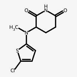 CN(c1ccc(Cl)s1)C1CCC(=O)NC1=O